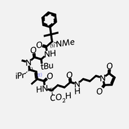 CN[C@H](C(=O)NC(C(=O)N(C)[C@H](/C=C(\C)C(=O)N[C@H](CCC(=O)NCCCN1C(=O)C=CC1=O)C(=O)O)C(C)C)C(C)(C)C)C(C)(C)c1ccccc1